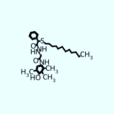 CCCCCCCCCCCCSC(C(=O)NNCC(=O)Nc1cc(C)c(O)c(C)c1C)c1ccccc1